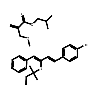 C=C(COC)C(=O)OCC(C)C.CCC(C)(C)OC(C=Cc1ccc(O)cc1)=Cc1ccccc1